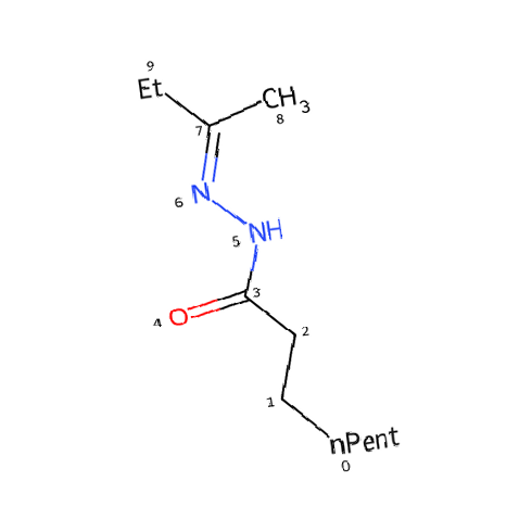 CCCCCCCC(=O)N/N=C(\C)CC